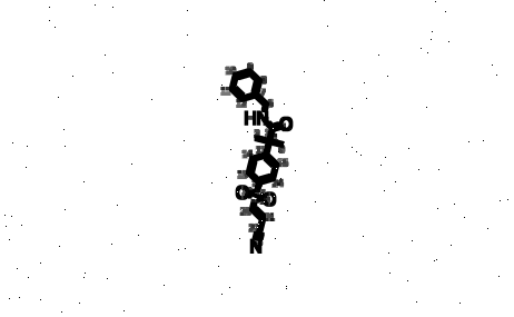 CC(C)(C(=O)NCc1ccccc1)c1ccc(S(=O)(=O)C=CC#N)cc1